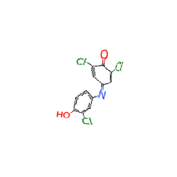 O=C1C(Cl)=CC(=Nc2ccc(O)c(Cl)c2)C=C1Cl